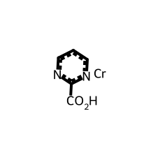 O=C(O)c1ncccn1.[Cr]